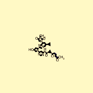 C=C(/C=C\C=C(/C)Cl)[C@H]1C[C@@H]1C(=O)Nc1cc(N2C[C@@H](O)C[C@@H]2c2cn3cc(C4CC4)cc(N4CC(=O)N(C)C4=O)c3n2)ncn1